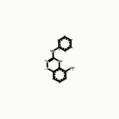 Oc1cccc2c1NC(Nc1ccccc1)=NS2